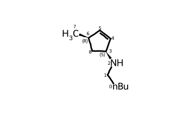 CCCCCN[C@@H]1C=C[C@H](C)C1